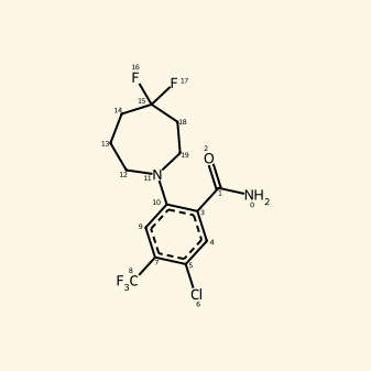 NC(=O)c1cc(Cl)c(C(F)(F)F)cc1N1CCCC(F)(F)CC1